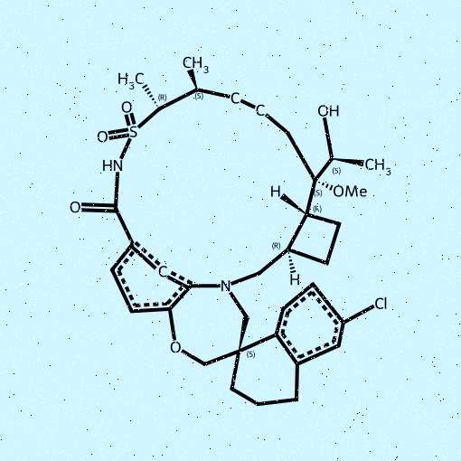 CO[C@@]1([C@H](C)O)CCC[C@H](C)[C@@H](C)S(=O)(=O)NC(=O)c2ccc3c(c2)N(C[C@@H]2CC[C@H]21)C[C@@]1(CCCc2cc(Cl)ccc21)CO3